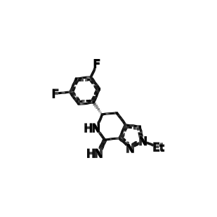 CCn1cc2c(n1)C(=N)N[C@H](c1cc(F)cc(F)c1)C2